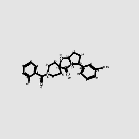 O=C(c1ccccc1F)N1CCC2(CC1)OC1CCC(c3cccc(F)c3)N1C2=O